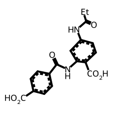 CCC(=O)Nc1ccc(C(=O)O)c(NC(=O)c2ccc(C(=O)O)cc2)c1